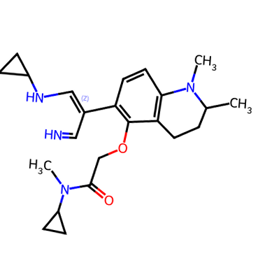 CC1CCc2c(ccc(/C(C=N)=C/NC3CC3)c2OCC(=O)N(C)C2CC2)N1C